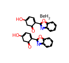 O=C1CC(O)=CC=C1c1nc2ccccc2o1.O=C1CC(O)=CC=C1c1nc2ccccc2o1.[BeH2]